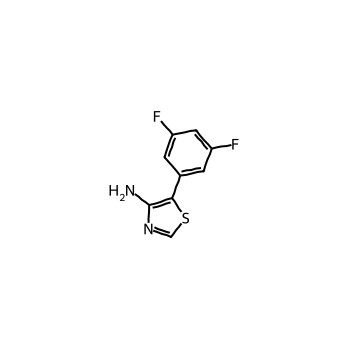 Nc1ncsc1-c1cc(F)cc(F)c1